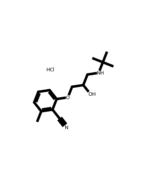 Cc1cccc(OCC(O)CNC(C)(C)C)c1C#N.Cl